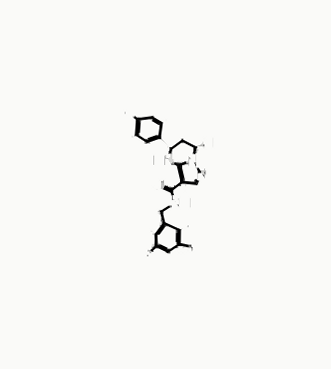 Cc1ccc([C@H]2C[C@@H](C(F)(F)F)n3ncc(C(=O)NCc4cc(F)cc(F)c4)c3N2)cc1